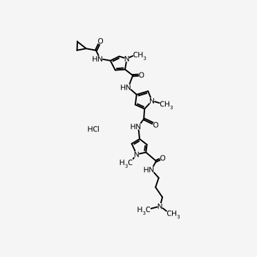 CN(C)CCCNC(=O)c1cc(NC(=O)c2cc(NC(=O)c3cc(NC(=O)C4CC4)cn3C)cn2C)cn1C.Cl